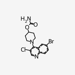 NC(=O)OC1CCN(c2c(Cl)cnc3ccc(Br)cc23)CC1